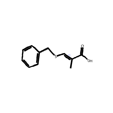 C/C(=C\SCc1ccccc1)C(=O)O